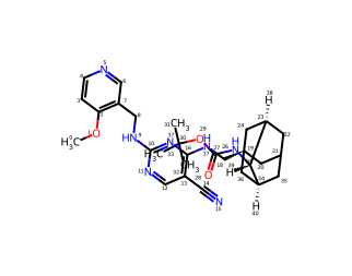 COc1ccncc1CNc1ncc(C#N)c(NC[C@]23CC4C[C@H](C2)[C@@H](NC(=O)OC(C)(C)C)[C@@H](C4)C3)n1